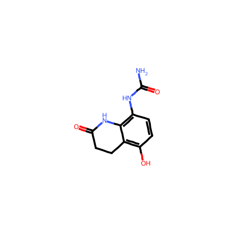 NC(=O)Nc1ccc(O)c2c1NC(=O)CC2